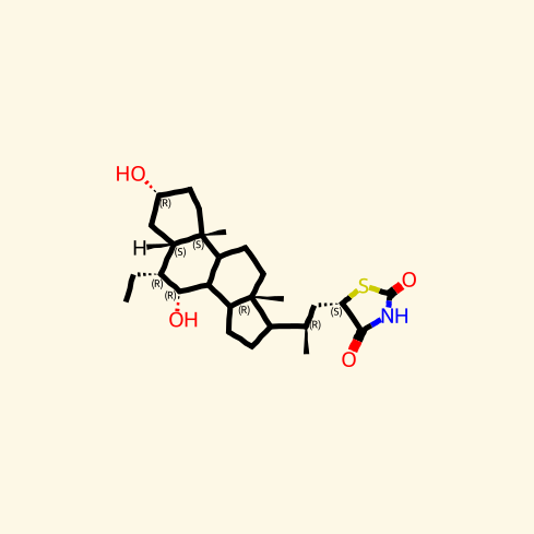 CC[C@H]1[C@@H](O)C2C3CCC([C@H](C)C[C@@H]4SC(=O)NC4=O)[C@@]3(C)CCC2[C@@]2(C)CC[C@@H](O)C[C@@H]12